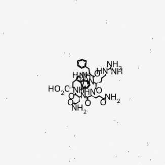 N=C(N)NCCC[C@H](NC(=O)[C@@H](N)Cc1ccccc1)C(=O)N[C@@H](CCC(N)=O)C(=O)N[C@@H](CC(N)=O)C(=O)N[C@@H](Cc1c[nH]c2ccccc12)C(=O)O